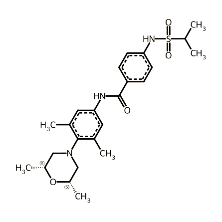 Cc1cc(NC(=O)c2ccc(NS(=O)(=O)C(C)C)cc2)cc(C)c1N1C[C@@H](C)O[C@@H](C)C1